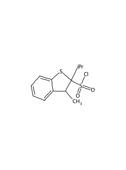 CC(C)C1(S(=O)(=O)Cl)Sc2ccccc2C1C